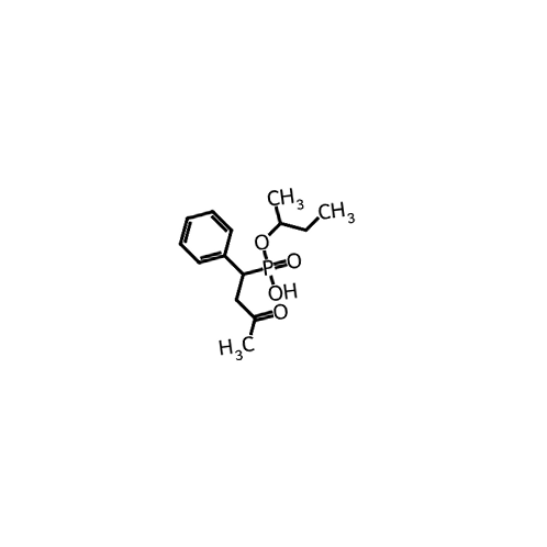 CCC(C)OP(=O)(O)C(CC(C)=O)c1ccccc1